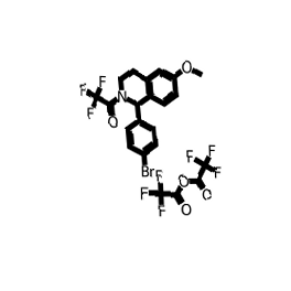 COc1ccc2c(c1)CCN(C(=O)C(F)(F)F)C2c1ccc(Br)cc1.O=C(OC(=O)C(F)(F)F)C(F)(F)F